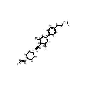 CCCc1ccc(-c2cc(F)c(C#C[C@H]3CC[C@H](C=CF)CC3)c(F)c2)cc1